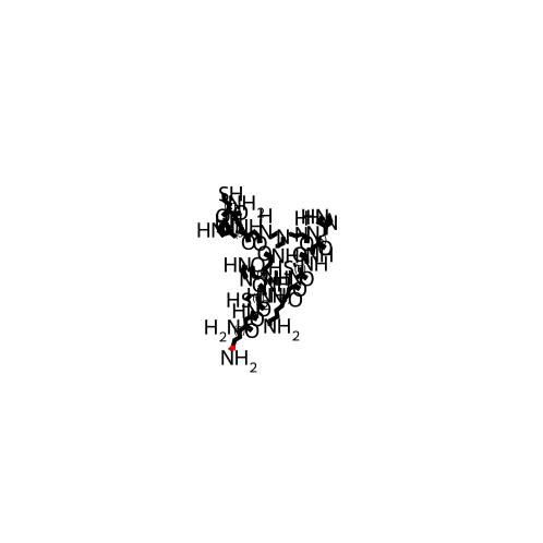 NCCCC[C@H](N)C(=O)CC(=O)NC(=O)[C@H](CS)NC(=O)NCC(=O)[C@H](Cc1c[nH]cn1)NC(=O)NCCN(CCNC(=O)CC(=O)[C@H](Cc1c[nH]cn1)NNC(=O)N[C@@H](CS)C(=O)NC(=O)CC(=O)[C@@H](N)CCCCN)CCNC(=O)CC(=O)[C@H](Cc1c[nH]cn1)NNC(=O)C(=O)[C@@H](N)CS